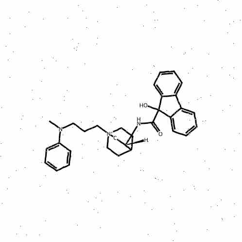 CN(CCC[N+]12CCC(CC1)[C@@H](NC(=O)C1(O)c3ccccc3-c3ccccc31)C2)c1ccccc1